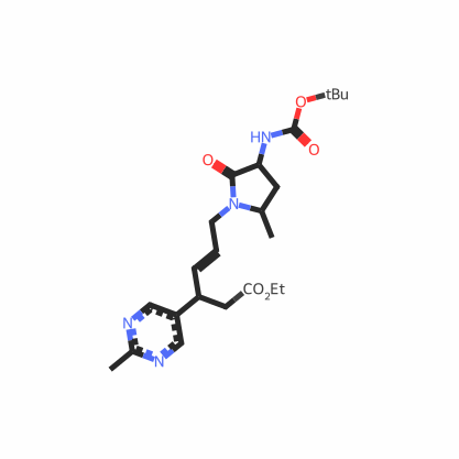 CCOC(=O)CC(/C=C/CN1C(=O)C(NC(=O)OC(C)(C)C)CC1C)c1cnc(C)nc1